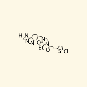 CCC1C(=O)N(Cc2ccc3c(N)ncnc3c2)CCN1C(=O)CCc1ccc(Cl)s1